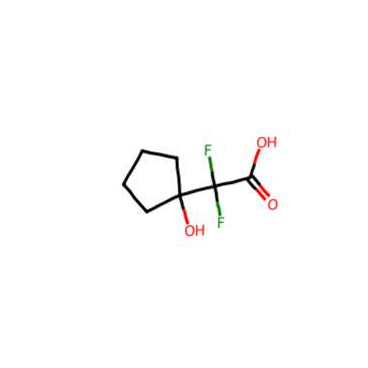 O=C(O)C(F)(F)C1(O)CCCC1